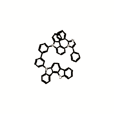 c1ccc(-c2cnc(-c3ccccc3)n2-c2cccc3c2c2ccccc2n3-c2cccc(-c3cccc(-n4c5ccccc5c5c6oc7ccccc7c6ccc54)c3)c2)cc1